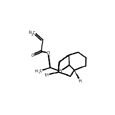 C=CC(=O)OC(C)OC1C2CCC[C@@H]1CC(CC)C2